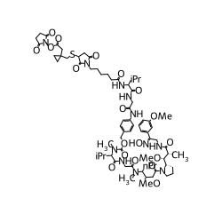 CCC[C@@H]([C@@H](CC(=O)N1CCC[C@H]1[C@H](OC)[C@@H](C)C(=O)NC/C(=N/O)c1cccc(OC)c1)OC)N(C)C(=O)CNC(=O)C(C(C)C)N(C)C(=O)OCc1ccc(NC(=O)CNC(=O)C(NC(=O)CCCCCN2C(=O)CC(SCC3(CC(=O)ON4C(=O)CCC4=O)CC3)C2=O)C(C)C)cc1